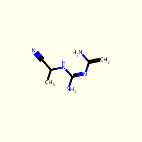 C=C(N)/N=C(/N)NC(C)C#N